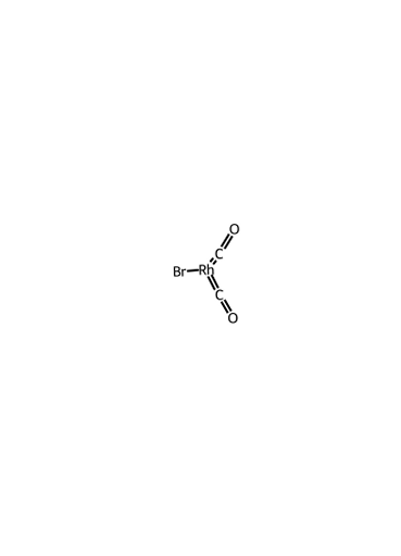 O=[C]=[Rh]([Br])=[C]=O